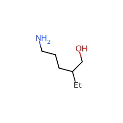 CCC(CO)CCCN